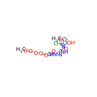 COCCOCCOCCOCCOc1ccc(C(=O)Nc2cnc3[nH]c(C(=O)N4C[C@@H](CCl)c5c4cc(O)c4cccc(OC)c54)cc3c2)cc1